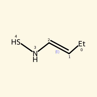 CC/C=C/NS